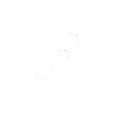 COC(=O)N(C1CN(c2ccc([N+](=O)[O-])cc2)C1)C(C)(C)C